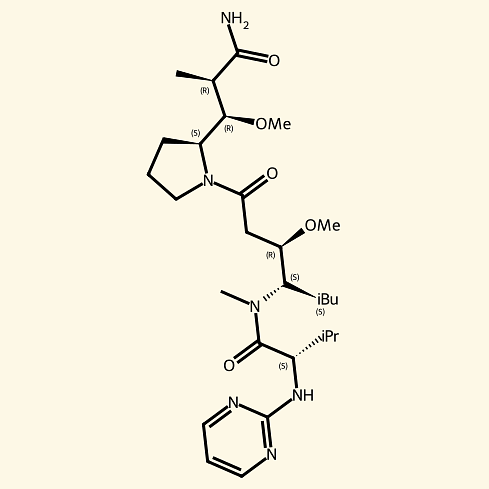 CC[C@H](C)[C@@H]([C@@H](CC(=O)N1CCC[C@H]1[C@H](OC)[C@@H](C)C(N)=O)OC)N(C)C(=O)[C@@H](Nc1ncccn1)C(C)C